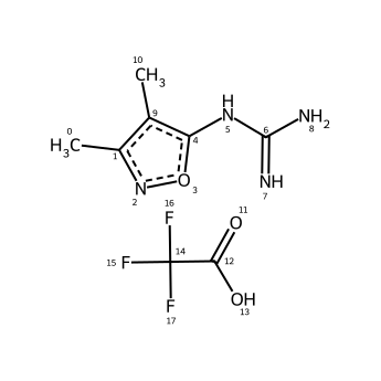 Cc1noc(NC(=N)N)c1C.O=C(O)C(F)(F)F